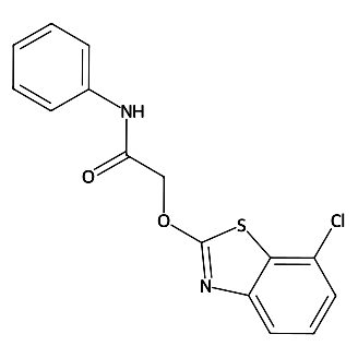 O=C(COc1nc2cccc(Cl)c2s1)Nc1ccccc1